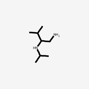 CC(C)NC(CN)C(C)C